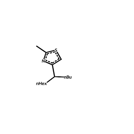 CCCCCCC(CCCC)c1csc(C)n1